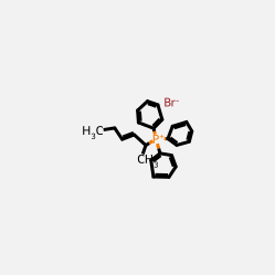 CCC=CC(C)[P+](c1ccccc1)(c1ccccc1)c1ccccc1.[Br-]